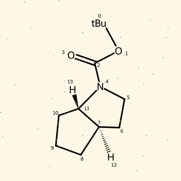 CC(C)(C)OC(=O)N1CC[C@H]2CCC[C@@H]21